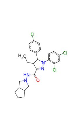 CCC1C(C(=O)NN2CC3CCCC3C2)=NN(c2ccc(Cl)cc2Cl)C1c1ccc(Cl)cc1